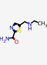 CCNCc1cnc(C(N)=O)s1